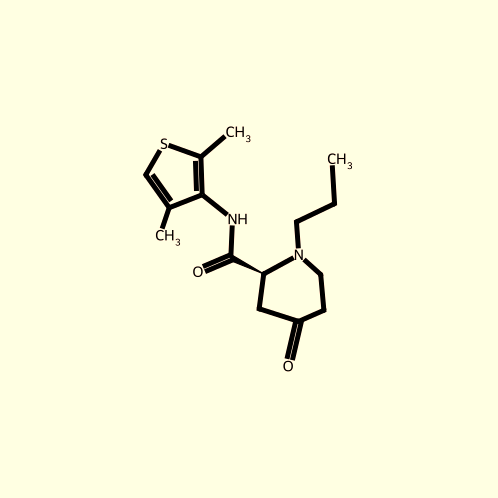 CCCN1CCC(=O)C[C@H]1C(=O)Nc1c(C)csc1C